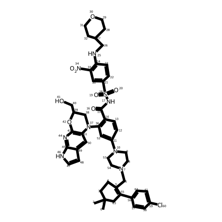 CC1(C)CCC(CN2CCN(c3ccc(C(=O)NS(=O)(=O)c4ccc(NCC5CCOCC5)c([N+](=O)[O-])c4)c(N4CC(CO)Oc5nc6[nH]ccc6cc54)c3)CC2)=C(c2ccc(Cl)cc2)C1